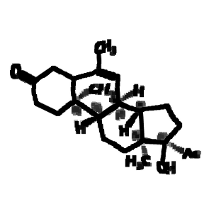 CC(=O)[C@@]1(O)CC[C@H]2[C@@H]3C=C(C)C4CC(=O)CC[C@]4(C)[C@H]3CC[C@@]21C